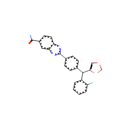 NC(=O)c1ccc2[nH]c(-c3ccc(C(C4=COCO4)c4ccccc4Cl)cc3)nc2c1